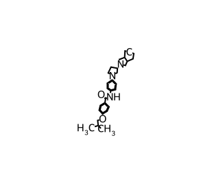 CC(C)COc1ccc(C(=O)Nc2ccc(N3CCC(N4CC5CCCCC5C4)C3)cc2)cc1